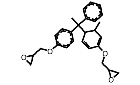 CC1C=C(OCC2CO2)C=CC1C(C)(c1ccccc1)c1ccc(OCC2CO2)cc1